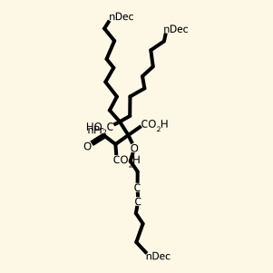 CCCCCCCCCCCCCCCCCOC(C(=O)O)(C(C(=O)O)C(=O)CCC)C(CCCCCCCCCCCCCCCCC)(CCCCCCCCCCCCCCCCC)C(=O)O